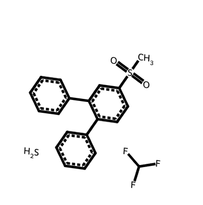 CS(=O)(=O)c1ccc(-c2ccccc2)c(-c2ccccc2)c1.FC(F)F.S